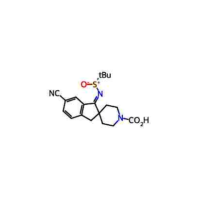 CC(C)(C)[S@@+]([O-])/N=C1\c2cc(C#N)ccc2CC12CCN(C(=O)O)CC2